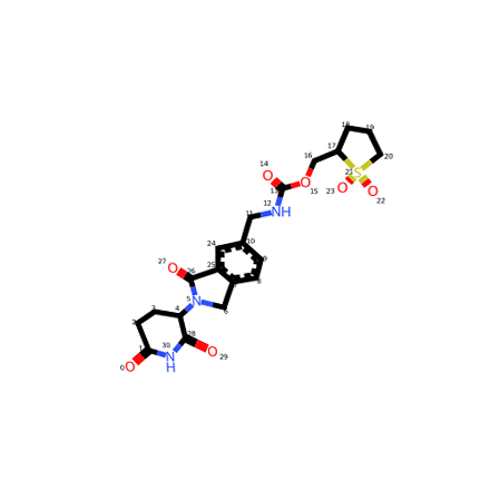 O=C1CCC(N2Cc3ccc(CNC(=O)OCC4CCCS4(=O)=O)cc3C2=O)C(=O)N1